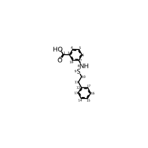 O=C(O)c1cccc(NSCCc2ccccc2)c1